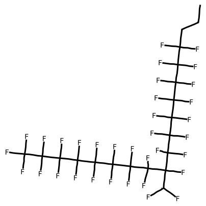 CCCC(F)(F)C(F)(F)C(F)(F)C(F)(F)C(F)(F)C(F)(F)C(F)(F)C(F)([C](F)F)C(F)(F)C(F)(F)C(F)(F)C(F)(F)C(F)(F)C(F)(F)C(F)(F)C(F)(F)F